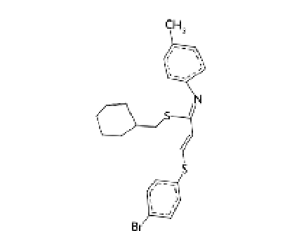 Cc1ccc(N=C(C=CSc2ccc(Br)cc2)SCC2CCCCC2)cc1